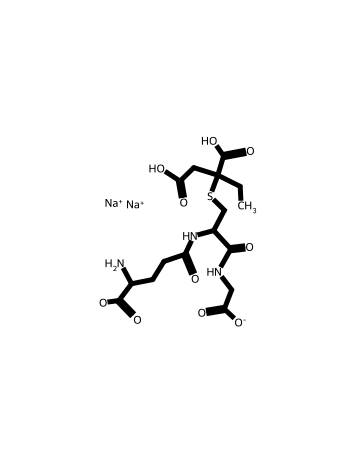 CCC(CC(=O)O)(SCC(NC(=O)CCC(N)C(=O)[O-])C(=O)NCC(=O)[O-])C(=O)O.[Na+].[Na+]